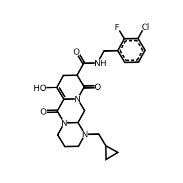 O=C(NCc1cccc(Cl)c1F)C1CC(O)=C2C(=O)N3CCCN(CC4CC4)C3CN2C1=O